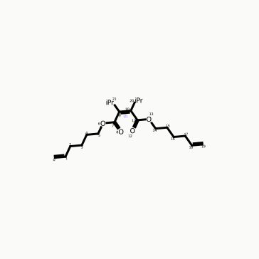 C=CCCCCOC(=O)/C(=C(\C(=O)OCCCCC=C)C(C)C)C(C)C